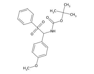 COc1ccc(C(NC(=O)OC(C)(C)C)S(=O)(=O)c2ccccc2)cc1